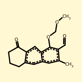 COCOc1c(C=O)c(C)cc2cc3c(cc12)C(=O)CCC3